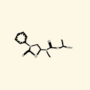 CCCCCCC(C)CC(=O)N(C)C1CN(c2ccccc2)C(=O)O1